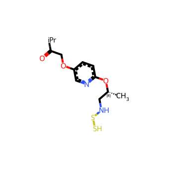 CC(C)C(=O)COc1ccc(O[C@H](C)CNSS)nc1